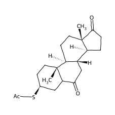 CC(=O)S[C@H]1CC[C@@]2(C)C(C1)C(=O)C[C@@H]1[C@@H]2CC[C@]2(C)C(=O)CC[C@@H]12